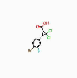 O=C(O)[C@@H]1[C@@H](c2ccc(Br)c(F)c2)C1(Cl)Cl